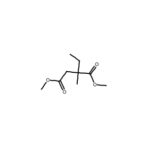 CCC(C)(CC(=O)OC)C(=O)OC